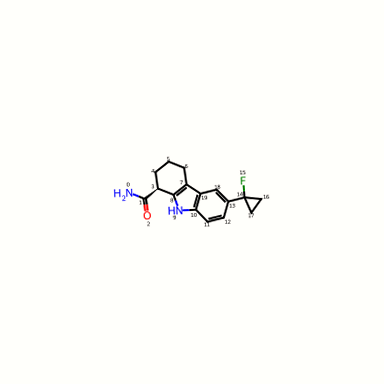 NC(=O)[C@H]1CCCc2c1[nH]c1ccc(C3(F)CC3)cc21